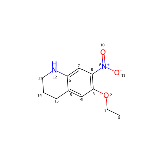 CCOc1cc2c(cc1[N+](=O)[O-])NCCC2